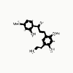 C=CCc1cc(/C=C/C(=O)c2ccc(OC)cc2O)c(OC)cc1O